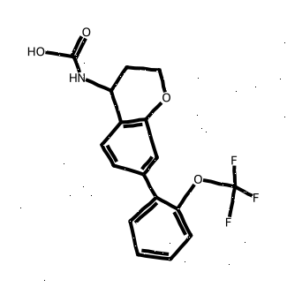 O=C(O)NC1CCOc2cc(-c3ccccc3OC(F)(F)F)ccc21